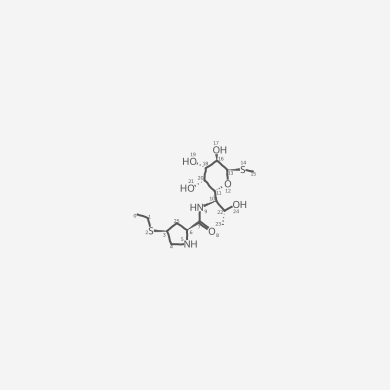 CCS[C@@H]1CN[C@H](C(=O)N[C@@H]([C@H]2O[C@H](SC)[C@H](O)[C@@H](O)[C@H]2O)[C@@H](C)O)C1